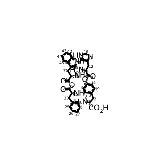 N[C@@H](Cc1ccc(OC(=O)[C@@H](N)Cc2c[nH]cn2)cc1)C(=O)O.N[C@@H](Cc1ccccc1)C(=O)OC(=O)[C@@H](N)Cc1c[nH]c2ccccc12